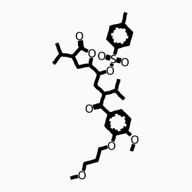 COCCCOc1cc(C(=O)C(CC(OS(=O)(=O)c2ccc(C)cc2)C2CC(C(C)C)C(=O)O2)C(C)C)ccc1OC